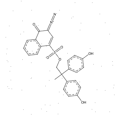 CC(COS(=O)(=O)C1=CC(=[N+]=[N-])C(=O)c2ccccc21)(c1ccc(O)cc1)c1ccc(O)cc1